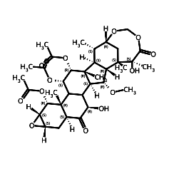 CO[C@H]1[C@@H]2[C@H]([C@H](C)[C@H]3C[C@]2(C)[C@](C)(O)C(=O)OCO3)[C@]2(C)[C@@H]1C1C([C@H](OC(C)=O)[C@@H]2OC(C)=O)[C@]2(C)[C@H](C[C@@H]3O[C@@H]3[C@@H]2OC(C)=O)C(=O)[C@@H]1O